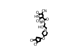 N#Cc1cc(C(=O)NC[C@@H](O)CN2CCC(Oc3ccc(Cl)c(Cl)c3)CC2)c(C(F)(F)F)[nH]c1=O